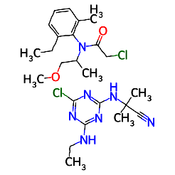 CCNc1nc(Cl)nc(NC(C)(C)C#N)n1.CCc1cccc(C)c1N(C(=O)CCl)C(C)COC